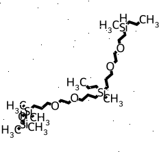 CCC[SiH](C)CCOCCOCCC[Si](C)(CCC)CCCOCCOCCC[Si](C)(C)O[SiH](C)C